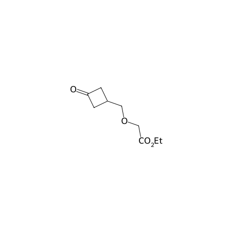 CCOC(=O)COCC1CC(=O)C1